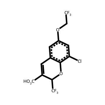 O=C(O)C1=Cc2cc(OCC(F)(F)F)cc(Cl)c2OC1C(F)(F)F